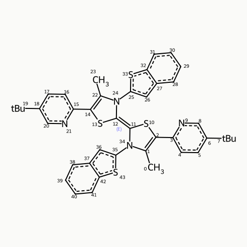 CC1=C(c2ccc(C(C)(C)C)cn2)S/C(=C2/SC(c3ccc(C(C)(C)C)cn3)=C(C)N2c2cc3ccccc3s2)N1c1cc2ccccc2s1